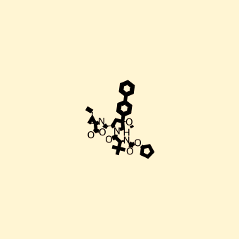 C=C[C@H]1C[C@@]12N=C([C@@H]1C[C@@](OC)(c3ccc(-c4ccccc4)cc3)CN1C(=O)[C@@H](NC(=O)OC1CCCC1)C(C)(C)C)OC2=O